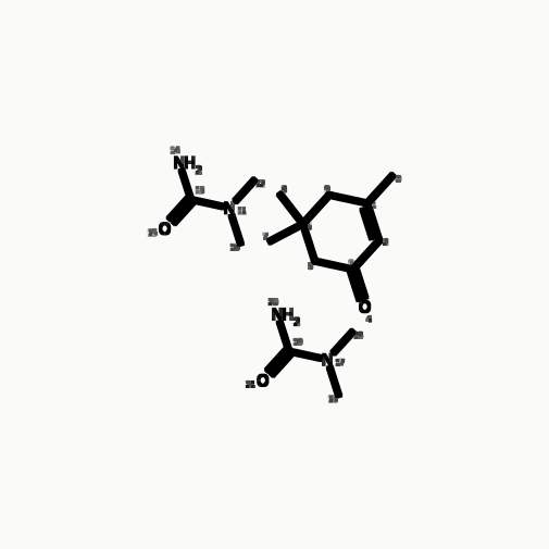 CC1=CC(=O)CC(C)(C)C1.CN(C)C(N)=O.CN(C)C(N)=O